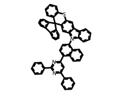 c1ccc(-c2cc(-c3ccc(-n4c5ccccc5c5cc6c(cc54)C4(c5ccccc5S6)c5ccccc5-c5ccccc54)c4ccccc34)nc(-c3ccccc3)n2)cc1